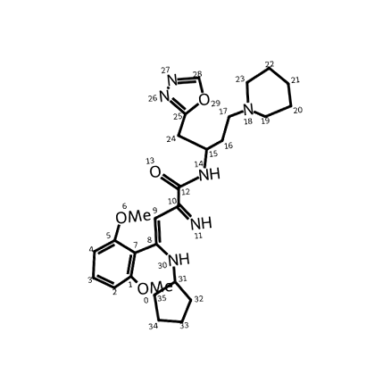 COc1cccc(OC)c1/C(=C/C(=N)C(=O)NC(CCN1CCCCC1)Cc1nnco1)NC1CCCC1